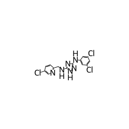 Clc1ccc(CNc2nc(Nc3cc(Cl)cc(Cl)c3)n[nH]2)nc1